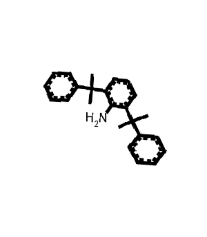 CC(C)(c1ccccc1)c1cccc(C(C)(C)c2ccccc2)c1N